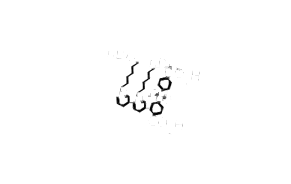 CCCCCCCCCCCCCCCC[n+]1ccccc1.CCCCCCCCCCCCCCCC[n+]1ccccc1.O=C(O)c1ccc(S(=O)(=O)c2ccc(C(=O)O)cc2)cc1